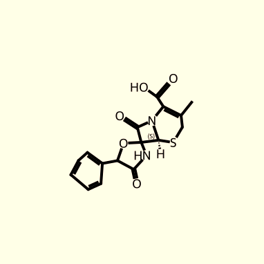 CC1=C(C(=O)O)N2C(=O)C3(NC(=O)C(c4ccccc4)O3)[C@@H]2SC1